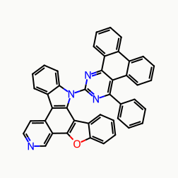 c1ccc(-c2nc(-n3c4ccccc4c4c5ccncc5c5oc6ccccc6c5c43)nc3c4ccccc4c4ccccc4c23)cc1